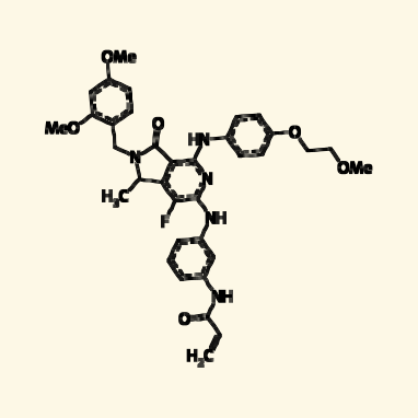 C=CC(=O)Nc1cccc(Nc2nc(Nc3ccc(OCCOC)cc3)c3c(c2F)C(C)N(Cc2ccc(OC)cc2OC)C3=O)c1